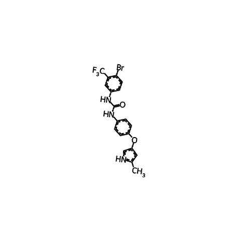 Cc1cc(Oc2ccc(NC(=O)Nc3ccc(Br)c(C(F)(F)F)c3)cc2)c[nH]1